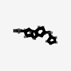 O=C(O)c1cn2c(n1)sc1cc(OC3CCCC3)ccc12